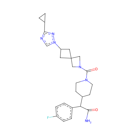 NC(=O)C(c1ccc(F)cc1)C1CCN(C(=O)N2CC3(CC(n4cnc(C5CC5)n4)C3)C2)CC1